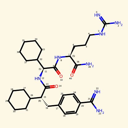 N=C(N)NCCC[C@H](NC(=O)[C@@H](NC(=O)[C@H](Cc1ccc(C(=N)N)cc1)C1CCCCC1)C1CCCCC1)C(N)=O